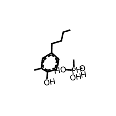 CCCCc1ccc(O)c(C)c1.C[PH](O)(O)O